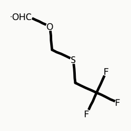 O=[C]OCSCC(F)(F)F